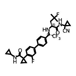 CC(C)(F)C[C@H](N[C@@H](c1ccc(-c2ccc(C3(C(=O)NC4CC4)CC3)c(F)c2)cc1)C(F)(F)F)C(=O)NC1(C#N)CC1